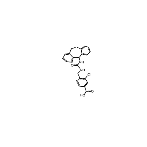 O=C(NCc1ncc(C(=O)O)cc1Cl)NC1c2ccccc2CCc2ccccc21